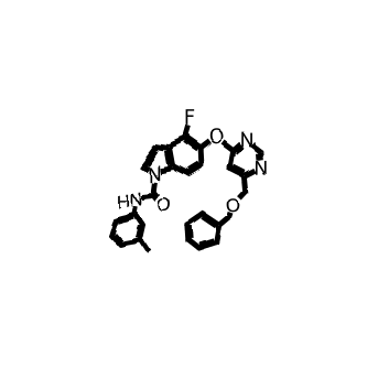 Cc1cccc(NC(=O)n2ccc3c(F)c(Oc4cc(COCc5ccccc5)ncn4)ccc32)c1